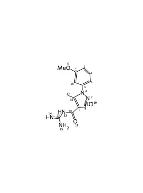 COc1cccc(-n2ncc(C(=O)NC(=N)N)c2C)c1.Cl